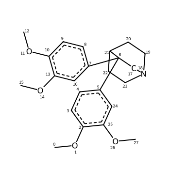 COc1ccc(C2(c3ccc(OC)c(OC)c3)CN3CCC2CC3)cc1OC